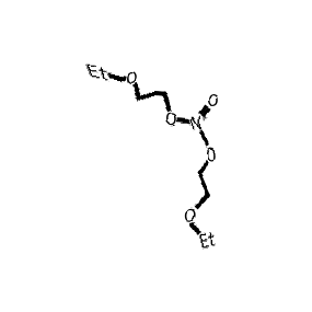 CCOCCO[N+](=O)OCCOCC